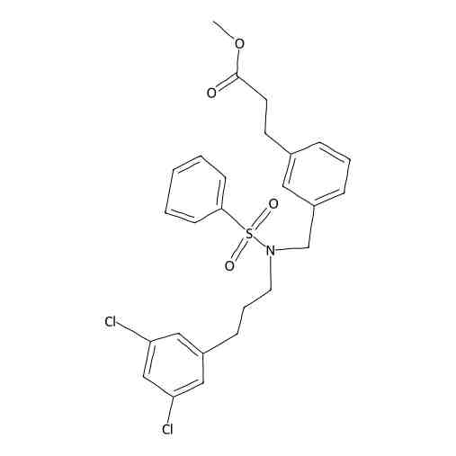 COC(=O)CCc1cccc(CN(CCCc2cc(Cl)cc(Cl)c2)S(=O)(=O)c2ccccc2)c1